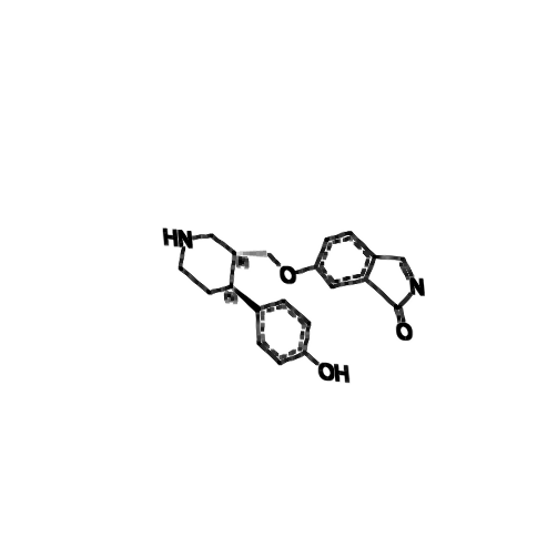 O=C1N=Cc2ccc(OC[C@H]3CNCC[C@@H]3c3ccc(O)cc3)cc21